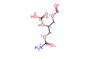 NC(=O)OCC(COC=O)OC(=O)O